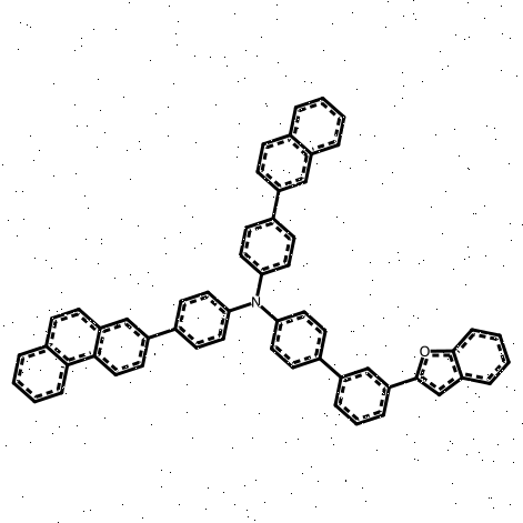 c1cc(-c2ccc(N(c3ccc(-c4ccc5ccccc5c4)cc3)c3ccc(-c4ccc5c(ccc6ccccc65)c4)cc3)cc2)cc(-c2cc3ccccc3o2)c1